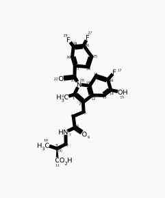 Cc1c(CCC(=O)NC[C@H](C)C(=O)O)c2cc(O)c(F)cc2n1C(=O)c1ccc(F)c(F)c1